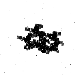 Cn1cc(NC(=O)c2cccc(C(=O)Nc3cc(C(=O)Nc4cc(C(=O)Nc5ccc(S(=O)(=O)O)c6cc(S(=O)(=O)O)ccc56)n(C)c4)n(C)c3)c2C(=O)Nc2cc(C(=O)Nc3cc(C(=O)Nc4ccc(S(=O)(=O)O)c5cc(S(=O)(=O)O)ccc45)n(C)c3)n(C)c2)cc1C(=O)Nc1cc(C(=O)Nc2ccc(S(=O)(=O)O)c3cc(S(=O)(=O)O)ccc23)n(C)c1